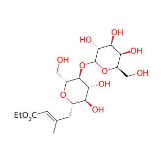 CCOC(=O)C=C(C)C[C@@H]1O[C@H](CO)[C@@H](OC2O[C@H](CO)[C@H](O)[C@H](O)[C@H]2O)[C@H](O)[C@H]1O